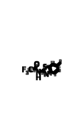 Cc1ccc2nc(NC(=O)C(F)(F)F)sc2c1